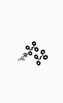 O=S(=O)([O-])C(F)(F)F.[Cl][Ru+]([Cl])[Cl].c1ccc(P(CCP(c2ccccc2)c2ccccc2)c2ccccc2)cc1.c1ccc(P(CCP(c2ccccc2)c2ccccc2)c2ccccc2)cc1